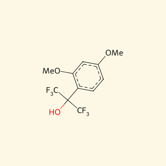 COc1ccc(C(O)(C(F)(F)F)C(F)(F)F)c(OC)c1